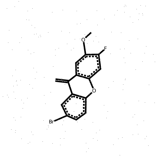 C=C1c2cc(Br)ccc2Oc2cc(F)c(OC)cc21